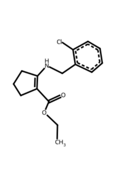 CCOC(=O)C1=C(NCc2ccccc2Cl)CCC1